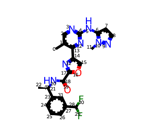 Cc1cnc(Nc2ccnn2C)nc1-c1coc(C(=O)N[C@H](C)c2cccc(C(F)F)c2)n1